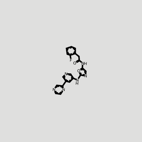 O=C(Cc1ccccc1F)Nc1cnc(Nc2cncc(-c3cnccn3)c2)o1